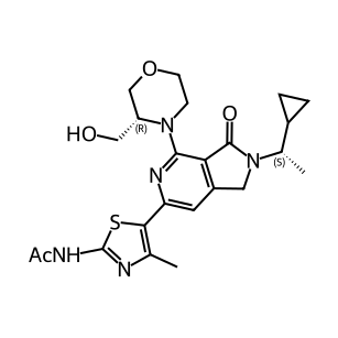 CC(=O)Nc1nc(C)c(-c2cc3c(c(N4CCOC[C@H]4CO)n2)C(=O)N([C@@H](C)C2CC2)C3)s1